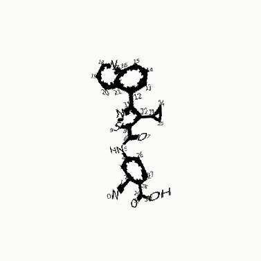 N#Cc1cc(NC(=O)c2snc(-c3cccc4ncccc34)c2C2CC2)ccc1C(=O)O